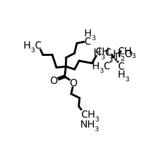 CCCCOC(=O)C(CCCC)(CCCC)CCCC.C[N+](C)(C)C.N.O